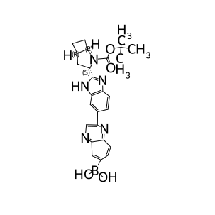 CC(C)(C)OC(=O)N1[C@@H]2CC[C@@H]2C[C@H]1c1nc2ccc(-c3cnc4cc(B(O)O)ccc4n3)cc2[nH]1